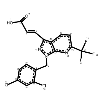 O=C(O)C=Cc1nn(Cc2ccc(Cl)cc2Cl)c2nc(C(F)(F)F)ccc12